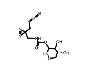 [N-]=[N+]=NCC1(CNC(=O)OC2NOC[C@@H](O)C2O)N=N1